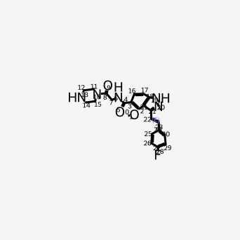 COc1c(C(=O)NCC(=O)N2CCNCC2)ccc2[nH]nc(/C=C/c3ccc(F)cc3)c12